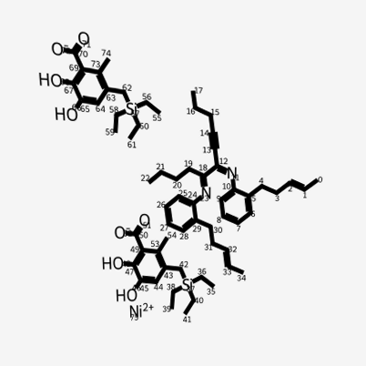 CC=CCCc1ccccc1N=C(C#CCCC)C(CCCC)=Nc1ccccc1CCC=CC.CC[Si](CC)(CC)Cc1cc(O)c(O)c(C(=O)[O-])c1C.CC[Si](CC)(CC)Cc1cc(O)c(O)c(C(=O)[O-])c1C.[Ni+2]